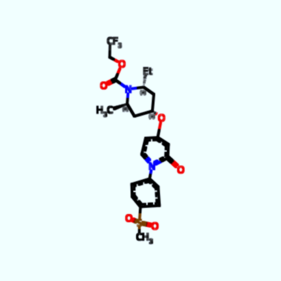 CC[C@@H]1C[C@H](Oc2ccn(-c3ccc(S(C)(=O)=O)cc3)c(=O)c2)C[C@@H](C)N1C(=O)OCC(F)(F)F